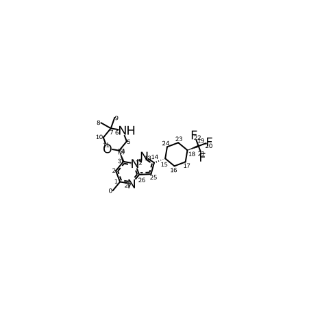 Cc1cc([C@@H]2CNC(C)(C)CO2)n2nc([C@H]3CC[C@H](C(F)(F)F)CC3)cc2n1